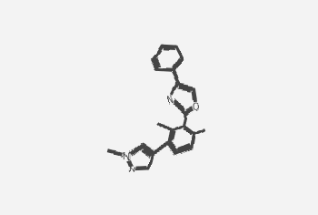 Cc1ccc(-c2cnn(C)c2)c(C)c1-c1nc(-c2ccccc2)co1